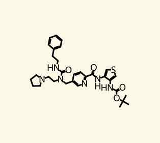 CC(C)(C)OC(=O)Nc1cscc1NC(=O)c1ccc(CN(CCN2CCCC2)C(=O)NCCc2ccccc2)cn1